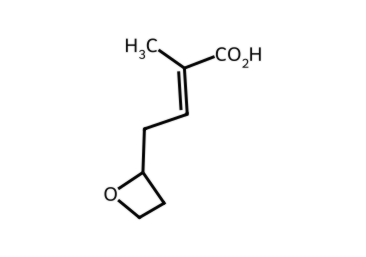 CC(=CCC1CCO1)C(=O)O